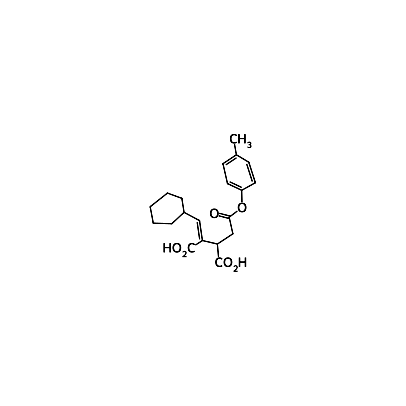 Cc1ccc(OC(=O)CC(C(=O)O)C(=CC2CCCCC2)C(=O)O)cc1